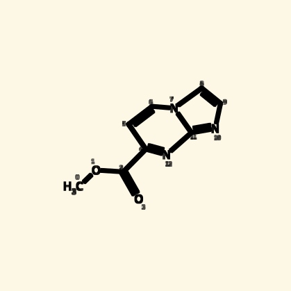 COC(=O)c1ccn2ccnc2n1